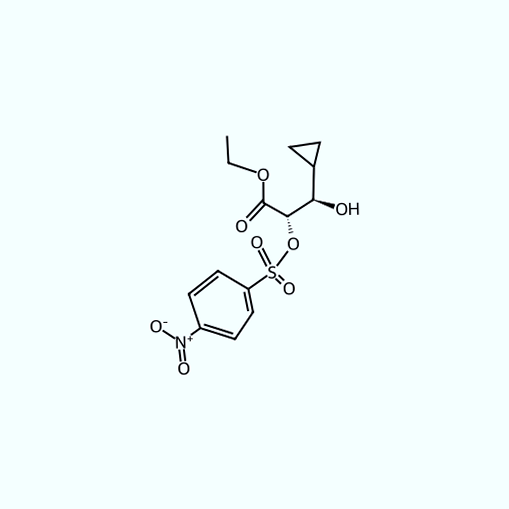 CCOC(=O)[C@@H](OS(=O)(=O)c1ccc([N+](=O)[O-])cc1)[C@H](O)C1CC1